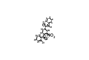 Cc1ccccc1N(C)C(=O)c1ccc([S+]([O-])c2ccccc2C)c([N+](=O)[O-])c1